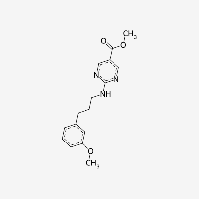 COC(=O)c1cnc(NCCCc2cccc(OC)c2)nc1